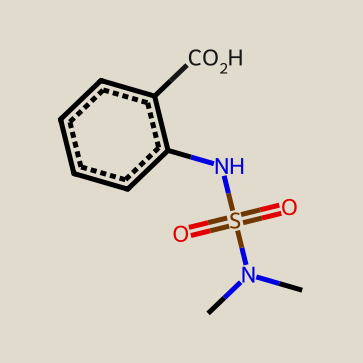 CN(C)S(=O)(=O)Nc1ccccc1C(=O)O